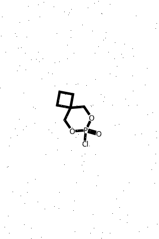 O=P1(Cl)OCC2(CCC2)CO1